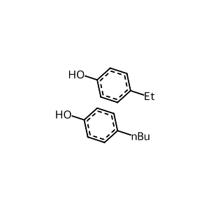 CCCCc1ccc(O)cc1.CCc1ccc(O)cc1